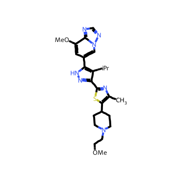 COCCN1CCC(c2sc(-c3n[nH]c(-c4cc(OC)c5ncnn5c4)c3C(C)C)nc2C)CC1